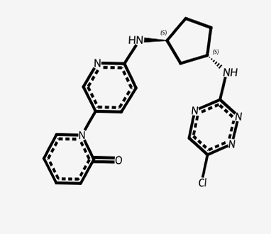 O=c1ccccn1-c1ccc(N[C@H]2CC[C@H](Nc3ncc(Cl)nn3)C2)nc1